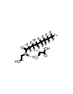 C=CC(=O)O.O=C(N(F)CCO)C(F)(F)C(F)(F)C(F)(F)C(F)(F)C(F)(F)C(F)(F)C(F)(F)F